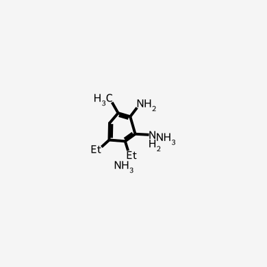 CCc1cc(C)c(N)c(N)c1CC.N.N